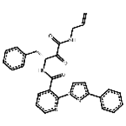 C=CCNC(=O)C(=O)[C@@H](Cc1ccccc1)NC(=O)c1cccnc1-n1ccc(-c2ccccc2)n1